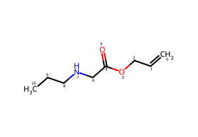 C=CCOC(=O)CNCCC